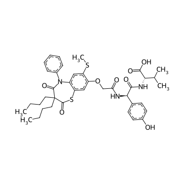 CCCCC1(CCCC)C(=O)Sc2cc(OCC(=O)N[C@@H](C(=O)N[C@H](C(=O)O)C(C)C)c3ccc(O)cc3)c(SC)cc2N(c2ccccc2)C1=O